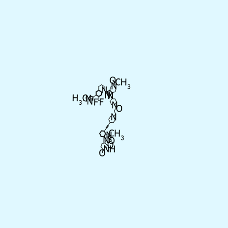 CC(=O)N1CCc2c(c(N3CCCc4cc(-c5cnn(C)c5)c(C(F)F)cc43)nn2C2CCN(C(=O)CCN3CCC(C#Cc4cccc5c4n(C)c(=O)n5C4CCC(=O)NC4=O)CC3)CC2)C1